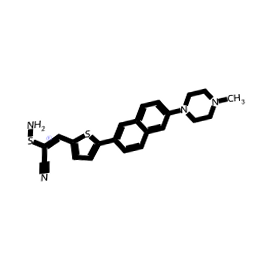 CN1CCN(c2ccc3cc(-c4ccc(/C=C(\C#N)SN)s4)ccc3c2)CC1